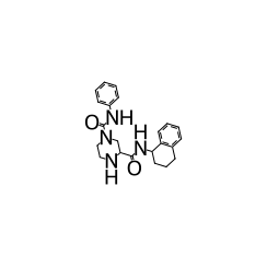 O=C(NC1CCCc2ccccc21)C1CN(C(=O)Nc2ccccc2)CCN1